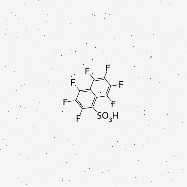 O=S(=O)(O)c1c(F)c(F)c(F)c2c(F)c(F)c(F)c(F)c12